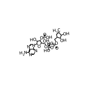 CC1CC(COP(=O)(O)OP(=O)(O)OCC2OC(n3cnc4c(N)ncnc43)C(O)C2OP(=O)(O)O)C(O)C1O